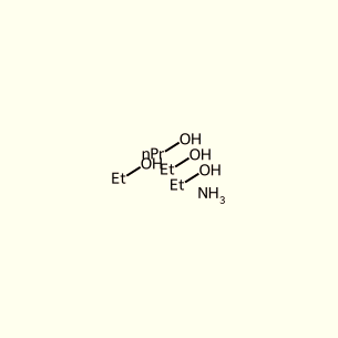 CCCO.CCO.CCO.CCO.N